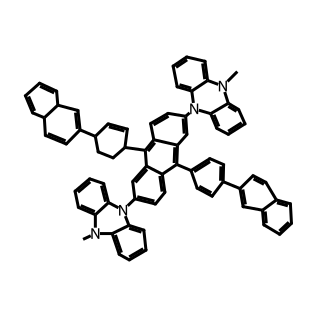 CN1c2ccccc2N(c2ccc3c(C4C=CC(C5=CC6C=CC=CC6C=C5)CC4)c4cc(N5c6ccccc6N(C)c6ccccc65)ccc4c(-c4ccc(-c5ccc6ccccc6c5)cc4)c3c2)c2ccccc21